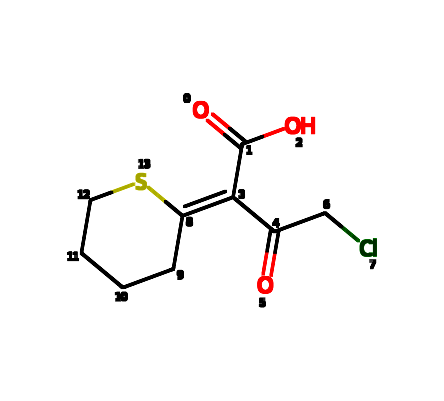 O=C(O)C(C(=O)CCl)=C1CCCCS1